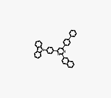 c1ccc(-c2ccc(-c3cc(-c4ccc(-n5c6ccccc6c6ccccc65)cc4)nc(-c4ccc5ccccc5c4)n3)cc2)cc1